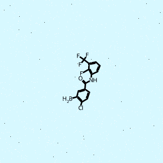 Bc1cc(C(=O)Nc2cccc(C(F)(F)F)c2F)ccc1Cl